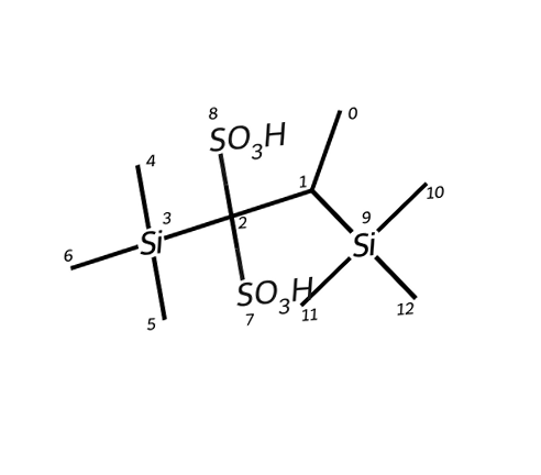 CC(C([Si](C)(C)C)(S(=O)(=O)O)S(=O)(=O)O)[Si](C)(C)C